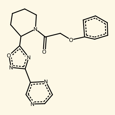 O=C(COc1ccccc1)N1CCCCC1c1nc(-c2cnccn2)no1